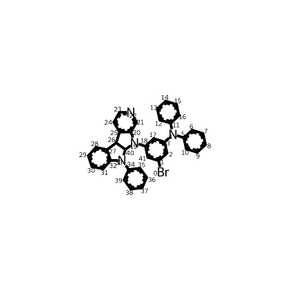 Brc1cc(N(c2ccccc2)c2ccccc2)cc(N2c3cnccc3C3c4ccccc4N(c4ccccc4)C32)c1